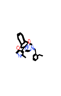 CCc1ccccc1CN1CCN(C2(c3ccnc(C)c3)C(=O)c3ccccc3C2=O)CC1